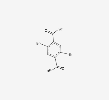 CCCC(=O)c1cc(Br)c(C(=O)CCC)cc1Br